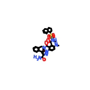 Cc1cc(C(N)=O)nn1-c1ccc(N(C)C)c(C(=O)NS(=O)(=O)c2cccc3ccccc23)c1C(=O)N1CCc2ccccc2C1